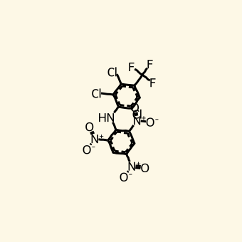 O=[N+]([O-])c1cc([N+](=O)[O-])c(Nc2c(Cl)cc(C(F)(F)F)c(Cl)c2Cl)c([N+](=O)[O-])c1